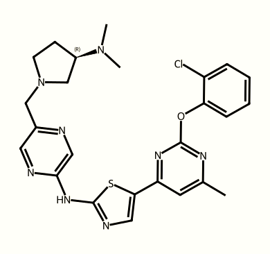 Cc1cc(-c2cnc(Nc3cnc(CN4CC[C@@H](N(C)C)C4)cn3)s2)nc(Oc2ccccc2Cl)n1